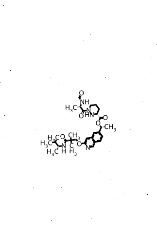 CC(C)[C@@H](C)NC(=O)C(C)(C)COc1cc2cc([C@@H](C)OC(=O)[C@H]3CCCN(C(=O)[C@H](C)NC=O)N3)ccc2cn1